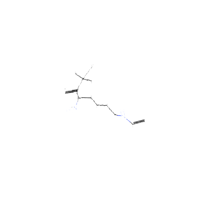 C=CNCCCCC(N)C(=C)C(C)(C)C